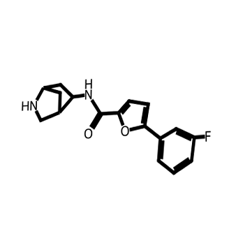 O=C(NC1CC2CC1CN2)c1ccc(-c2cccc(F)c2)o1